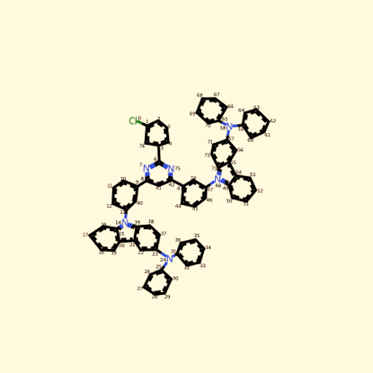 Clc1cccc(-c2nc(-c3cccc(-n4c5ccccc5c5cc(N(c6ccccc6)c6ccccc6)ccc54)c3)cc(-c3cccc(-n4c5ccccc5c5cc(N(c6ccccc6)c6ccccc6)ccc54)c3)n2)c1